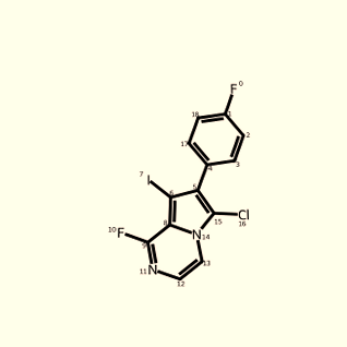 Fc1ccc(-c2c(I)c3c(F)nccn3c2Cl)cc1